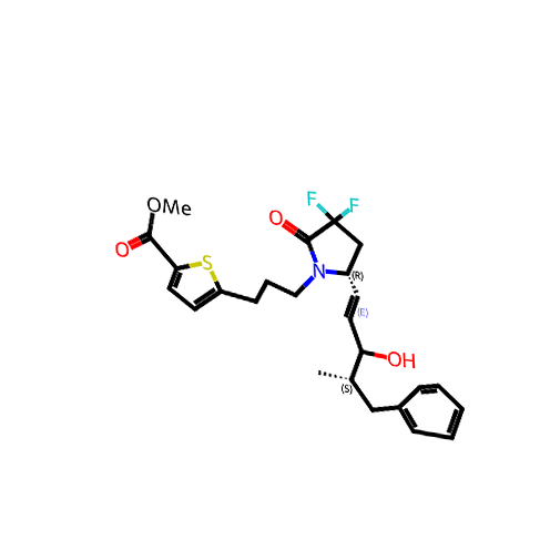 COC(=O)c1ccc(CCCN2C(=O)C(F)(F)C[C@@H]2/C=C/C(O)[C@@H](C)Cc2ccccc2)s1